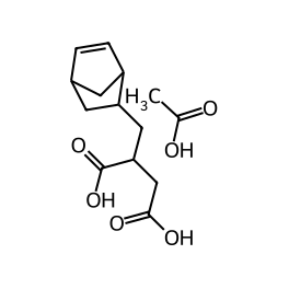 CC(=O)O.O=C(O)CC(CC1CC2C=CC1C2)C(=O)O